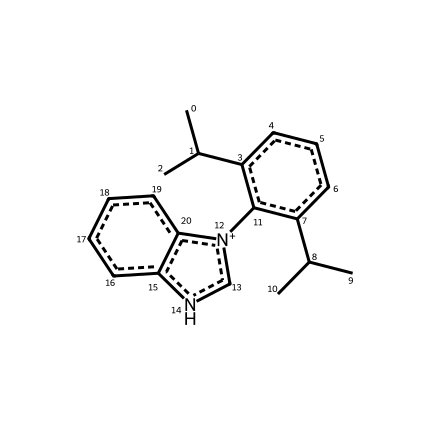 CC(C)c1cccc(C(C)C)c1-[n+]1c[nH]c2ccccc21